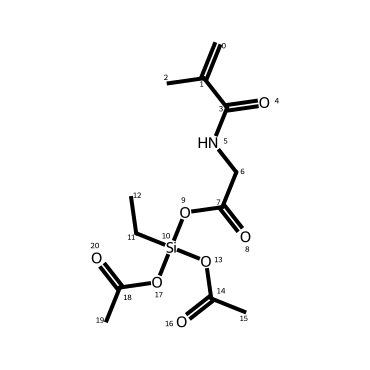 C=C(C)C(=O)NCC(=O)O[Si](CC)(OC(C)=O)OC(C)=O